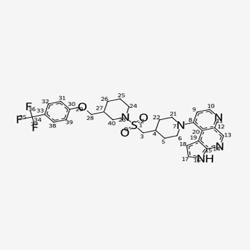 O=S(=O)(CC1CCN(c2ccnc3cnc4[nH]ccc4c23)CC1)N1CCCC(COc2ccc(C(F)(F)F)cc2)C1